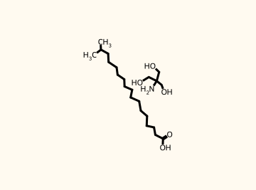 CC(C)CCCCCCCCCCCCCCC(=O)O.NC(CO)(CO)CO